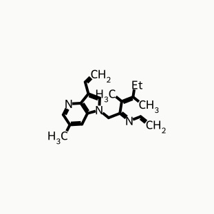 C=C/N=C(Cn1cc(C=C)c2ncc(C)cc21)\C(C)=C(/C)CC